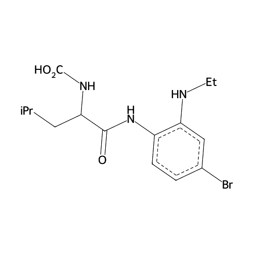 CCNc1cc(Br)ccc1NC(=O)C(CC(C)C)NC(=O)O